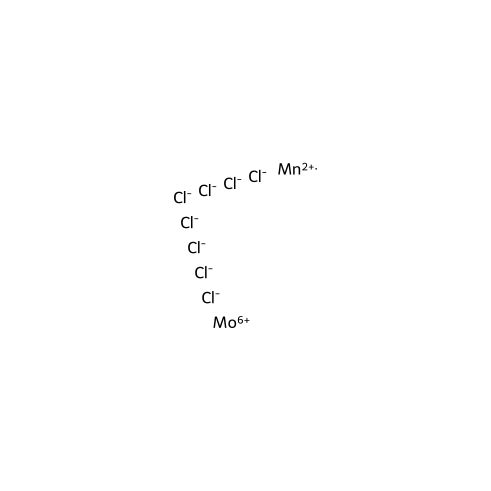 [Cl-].[Cl-].[Cl-].[Cl-].[Cl-].[Cl-].[Cl-].[Cl-].[Mn+2].[Mo+6]